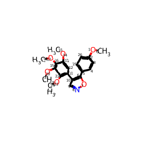 COc1ccc(-c2oncc2-c2cc(OC)c(OC)c(OC)c2OC)cc1